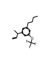 [CH2]C(C=C)c1cc(CCCC)cc(OC(F)(F)F)c1